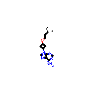 CCCCOC1CC(n2cnc3c(N)ncnc32)C1